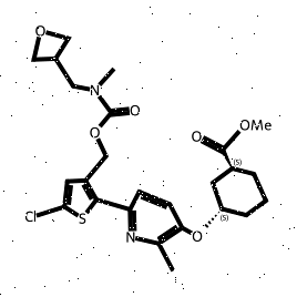 COC(=O)[C@H]1CCC[C@H](Oc2ccc(-c3sc(Cl)cc3COC(=O)N(C)CC3COC3)nc2C)C1